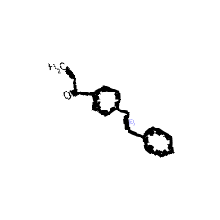 C=CC(=O)c1ccc(/C=C/c2ccccc2)cc1